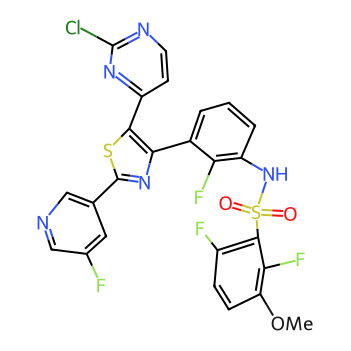 COc1ccc(F)c(S(=O)(=O)Nc2cccc(-c3nc(-c4cncc(F)c4)sc3-c3ccnc(Cl)n3)c2F)c1F